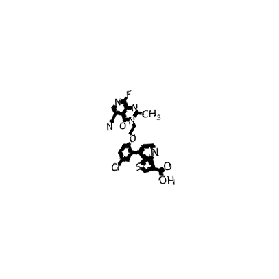 Cc1nc2c(F)ncc(C#N)c2c(=O)n1CCOc1ccc(Cl)cc1-c1ccnc2c(C(=O)O)csc12